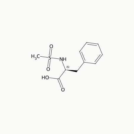 CS(=O)(=O)N[C@@H](Cc1ccccc1)C(=O)O